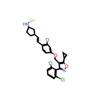 SNC1CCC(/C=C/c2ccc(OCc3c(-c4c(Cl)cccc4Cl)noc3C3CC3)cc2Cl)C1